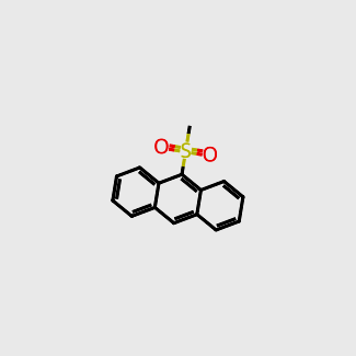 CS(=O)(=O)c1c2ccccc2cc2ccccc12